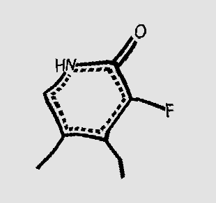 Cc1c[nH]c(=O)c(F)c1C